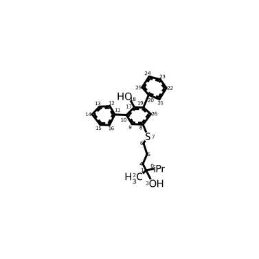 CC(C)C(C)(O)CCCSc1cc(-c2ccccc2)c(O)c(-c2ccccc2)c1